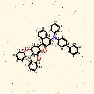 c1ccc(-c2ccc(N(c3ccccc3)c3cc4oc5c6c7c(cc5c4c4ccccc34)Oc3ccccc3B7c3ccccc3O6)cc2)cc1